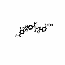 CCOc1ccc(NS(=O)(=O)c2ccc(NC(=S)NC(=O)c3cccc(OC(C)CC)c3)cc2)cc1